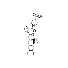 N[C@@H](CC(=O)N1CCSC1C(=O)N1CCC(C(=O)O)CC1)Cc1cc(F)c(F)cc1F